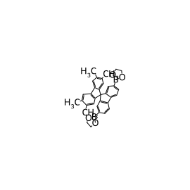 Cc1cc2c(cc1C)C1(c3cc(B4OCCO4)ccc3-c3ccc(B4OCCO4)cc31)c1cc(C)c(C)cc1-2